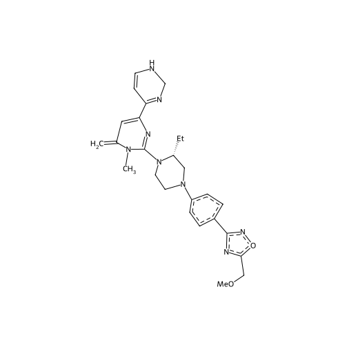 C=C1C=C(C2=NCNC=C2)N=C(N2CCN(c3ccc(-c4noc(COC)n4)cc3)C[C@H]2CC)N1C